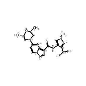 C[C@H]1CN(c2ccn3ncc(C(=O)Nc4cn(C)nc4C(F)F)c3n2)C[C@H](C)O1